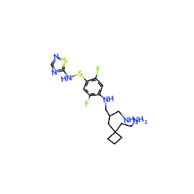 NCCC1(CC(CN)CNc2cc(F)c(SNc3ncns3)cc2F)CCC1